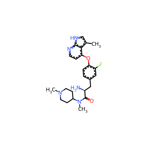 Cc1c[nH]c2nccc(Oc3ccc(C[C@H](N)C(=O)N(C)C4CCN(C)CC4)cc3F)c12